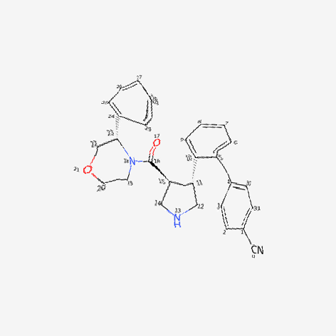 N#Cc1ccc(-c2ccccc2[C@@H]2CNC[C@H]2C(=O)N2CCOC[C@@H]2c2ccccc2)cc1